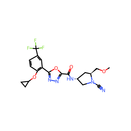 COC[C@@H]1C[C@@H](NC(=O)c2nnc(-c3cc(C(F)(F)F)ccc3OC3CC3)o2)CN1C#N